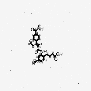 CNC(=O)c1ccc2c(c1)OCC[C@]21C[C@H]1C(=O)Nc1cc(C#N)ccc1CCCC(=O)O